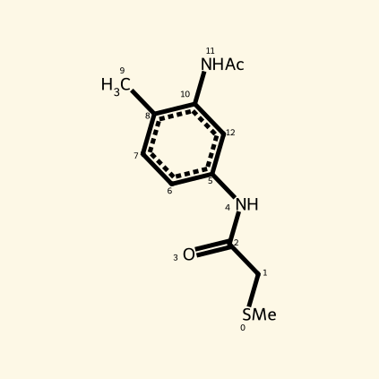 CSCC(=O)Nc1ccc(C)c(NC(C)=O)c1